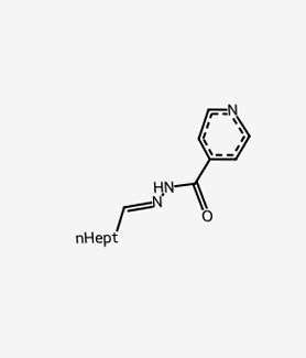 CCCCCCCC=NNC(=O)c1ccncc1